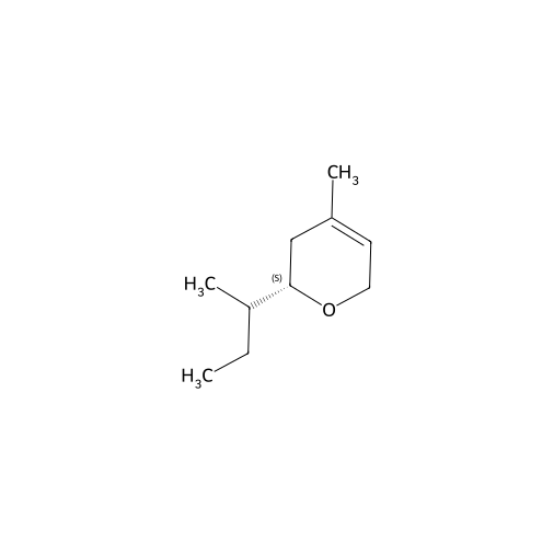 CCC(C)[C@@H]1CC(C)=CCO1